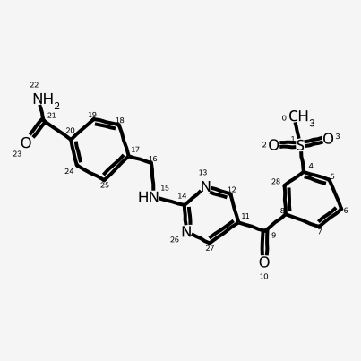 CS(=O)(=O)c1cccc(C(=O)c2cnc(NCc3ccc(C(N)=O)cc3)nc2)c1